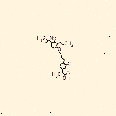 CCCc1c(OCCCSc2ccc(C(C)C(=O)O)cc2Cl)ccc2c(OC)noc12